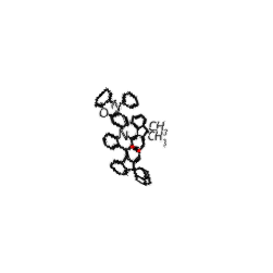 CC1(C)c2ccccc2-c2c(N(c3ccc4c(c3)Oc3ccccc3N4c3ccccc3)c3ccccc3-c3cccc4c3-c3ccccc3C43C4CC5CC(C4)CC3C5)cccc21